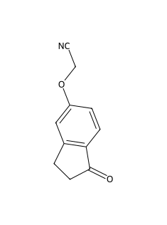 N#CCOc1ccc2c(c1)CCC2=O